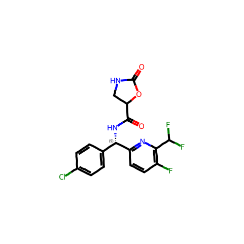 O=C1NCC(C(=O)N[C@@H](c2ccc(Cl)cc2)c2ccc(F)c(C(F)F)n2)O1